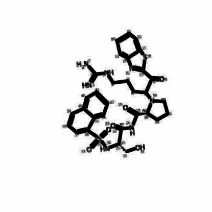 N=C(N)NCCCC(C(=O)c1nc2ccccc2s1)N1CCC[C@H]1C(=O)NC(=O)[C@H](CO)NS(=O)(=O)c1cccc2ccccc12